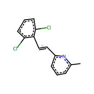 Cc1cccc(/C=C/c2c(Cl)cccc2Cl)n1